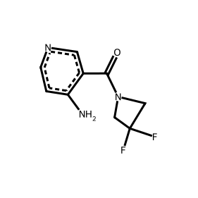 Nc1ccncc1C(=O)N1CC(F)(F)C1